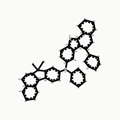 CC1(C)c2cc(N(c3ccccc3)c3ccc4sc5c6ccccc6cc(-c6ccccc6)c5c4c3)ccc2-c2c1ccc1ccccc21